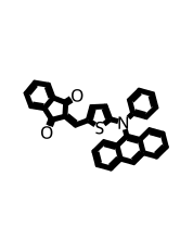 O=C1C(=Cc2ccc(N(c3ccccc3)c3c4ccccc4cc4ccccc34)s2)C(=O)c2ccccc21